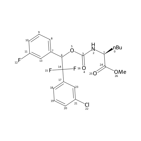 CCCC[C@H](NC(=O)OC(c1cccc(F)c1)C(F)(F)c1cccc(Cl)c1)C(=O)OC